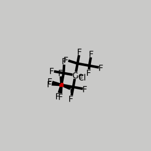 FC(F)(F)[C](F)(F)[Ge]([Cl])([C](F)(F)C(F)(F)F)[C](F)(F)C(F)(F)F